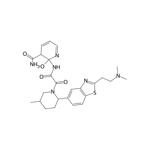 COC1(NC(=O)C(=O)N2CC(C)CCC2c2ccc3sc(CCN(C)C)nc3c2)N=CC=CC1C(N)=O